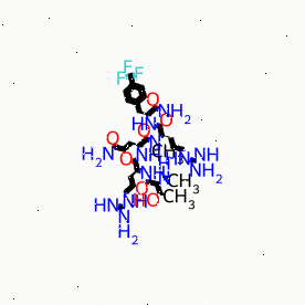 CN[C@H](C(=O)N[C@@H](CCCNC(=N)N)C(=O)N[C@@H](CCC(N)=O)C(=O)N(C)[C@@H](CCCNC(=N)N)C(=O)N[C@@H](Cc1ccc(C(F)(F)F)cc1)C(N)=O)[C@@H](C)O